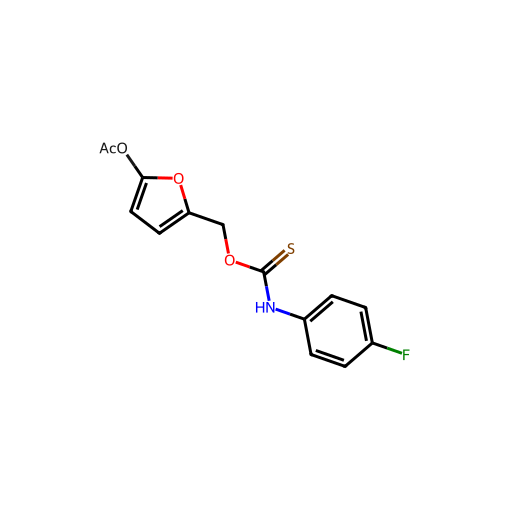 CC(=O)Oc1ccc(COC(=S)Nc2ccc(F)cc2)o1